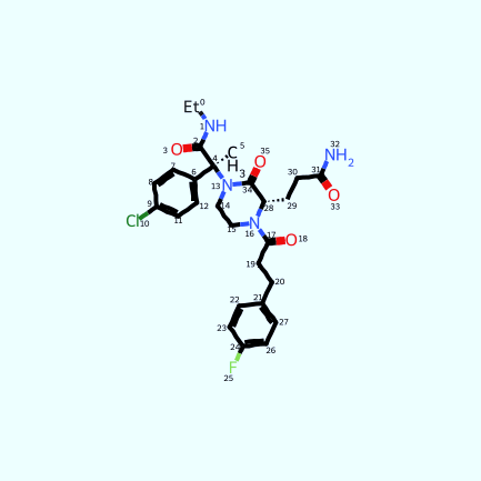 CCNC(=O)[C@](C)(c1ccc(Cl)cc1)N1CCN(C(=O)[CH]Cc2ccc(F)cc2)[C@@H](CCC(N)=O)C1=O